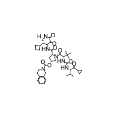 CC(C)[C@H](NC(=O)N[C@H](C(=O)N1C[C@H](OC(=O)N2CCc3ccccc3C2)C[C@H]1C(=O)NC(CC1CCC1)C(=O)C(N)=O)C(C)(C)C)C(=O)C1CC1